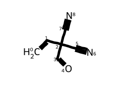 C=CC([C]=O)(C#N)C#N